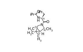 CC(C)C[C@H](NC(=O)C(C)C)C(=O)N1C[C@@]2(C)[C@@H]([C@H]1C)C2(C)C